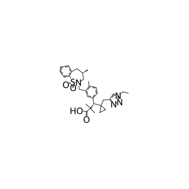 CCn1cc(CC2([C@H](c3ccc(C)c(CN4C[C@H](C)Cc5ccccc5S4(=O)=O)c3)C(C)(C)C(=O)O)CC2)nn1